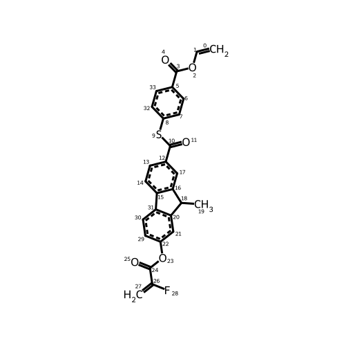 C=COC(=O)c1ccc(SC(=O)c2ccc3c(c2)C(C)c2cc(OC(=O)C(=C)F)ccc2-3)cc1